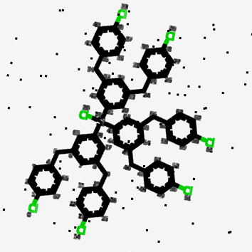 Clc1ccc(Cc2cc(Cc3ccc(Cl)cc3)cc([Si](Cl)(c3cc(Cc4ccc(Cl)cc4)cc(Cc4ccc(Cl)cc4)c3)c3cc(Cc4ccc(Cl)cc4)cc(Cc4ccc(Cl)cc4)c3)c2)cc1